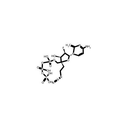 C=C1N=C(N)C=CN1[C@@H]1O[C@](CCN=[N+]=[N-])(COP(=O)(O)OP(=O)(O)OP(=O)(O)O)[C@@H](O)[C@H]1F